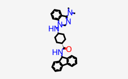 CN(C)C1=NCN(N[C@H]2CC[C@@H](C(=O)NC3c4ccccc4-c4ccccc43)CC2)c2ccccc21